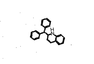 c1ccc(C(c2ccccc2)C2CCc3ccccc3N2)cc1